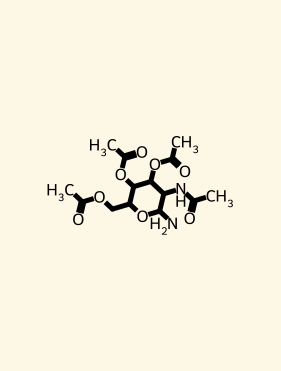 CC(=O)NC1C(N)OC(COC(C)=O)C(OC(C)=O)C1OC(C)=O